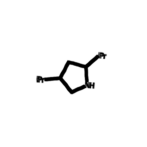 CC(C)C1CNC(C(C)C)C1